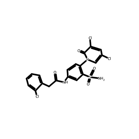 NS(=O)(=O)c1cc(NC(=O)Cc2ccccc2Cl)ccc1-n1cc(Cl)cc(Cl)c1=O